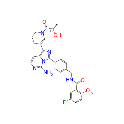 COc1ccc(F)cc1C(=O)NCc1ccc(-c2nc(C3=CN(C(=O)[C@@H](C)O)CCC3)c3ccnc(N)n23)cc1